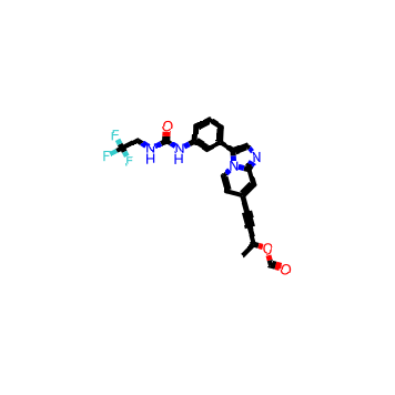 CC(C#Cc1ccn2c(-c3cccc(NC(=O)NCC(F)(F)F)c3)cnc2c1)OC=O